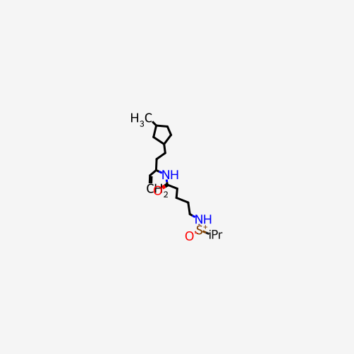 C=CC(CCC1CCC(C)C1)NC(=O)CCCCN[S+]([O-])C(C)C